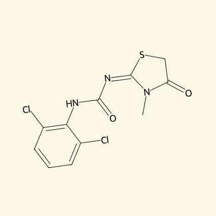 CN1C(=O)CS/C1=N/C(=O)Nc1c(Cl)cccc1Cl